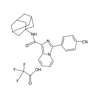 N#Cc1ccc(-c2nc(C(=O)NC34CC5CC(CC(C5)C3)C4)c3ccccn23)cc1.O=C(O)C(F)(F)F